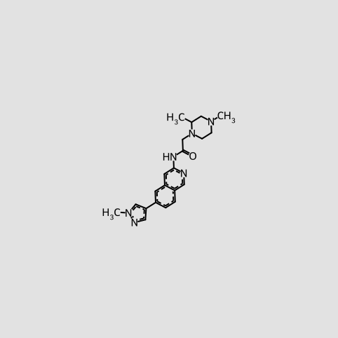 CC1CN(C)CCN1CC(=O)Nc1cc2cc(-c3cnn(C)c3)ccc2cn1